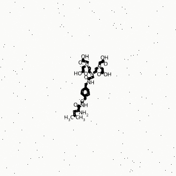 CC(C)C[C@@H](N)C(=O)NOCc1ccc(CNC(=O)CN(CCN(CC(=O)O)CC(=O)O)CCN(CC(=O)O)CC(=O)O)cc1